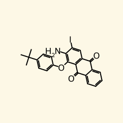 CC(C)(C)c1ccc(Oc2c(N)c(I)cc3c2C(=O)c2ccccc2C3=O)cc1